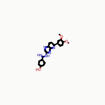 COc1ccc(-c2ccc3ncc(NC(=N)c4ccc(O)cc4)nc3n2)cc1OC